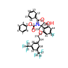 O=C(Oc1ccccc1)N1[C@@H](c2ccccc2)O[C@@H](O)[C@]1(COCCc1cc(C(F)(F)F)cc(C(F)(F)F)c1)c1ccc(F)cc1